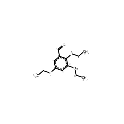 CCOc1cc([C]=O)c(OCC)c(OCC)c1